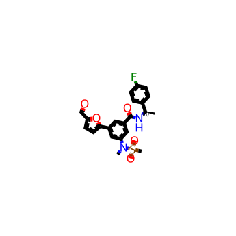 C[C@@H](NC(=O)c1cc(-c2ccc(C=O)o2)cc(N(C)S(C)(=O)=O)c1)c1ccc(F)cc1